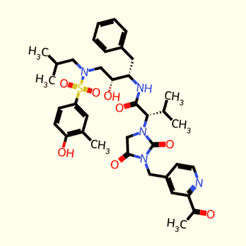 CC(=O)c1cc(CN2C(=O)CN([C@H](C(=O)N[C@@H](Cc3ccccc3)[C@H](O)CN(CC(C)C)S(=O)(=O)c3ccc(O)c(C)c3)C(C)C)C2=O)ccn1